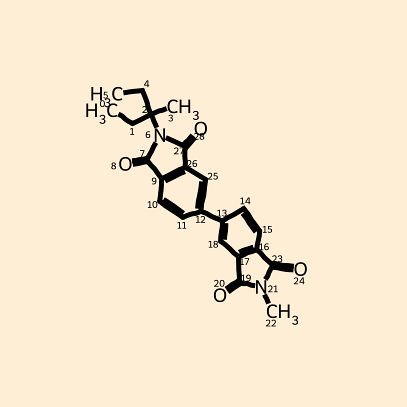 CCC(C)(CC)N1C(=O)c2ccc(-c3ccc4c(c3)C(=O)N(C)C4=O)cc2C1=O